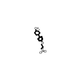 CC1CCC(c2ccc(OCCC[SiH](Cl)Cl)cc2)CC1